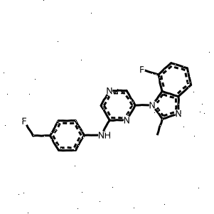 Cc1nc2cccc(F)c2n1-c1cncc(Nc2ccc(CF)cc2)n1